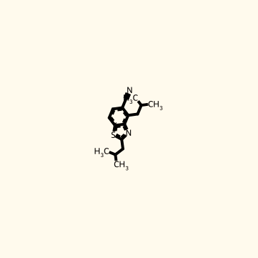 CC(C)Cc1nc2c(CC(C)C)c(C#N)ccc2s1